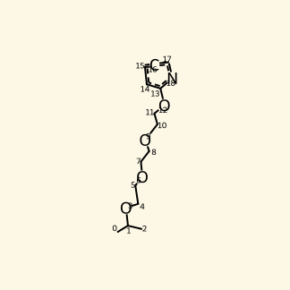 CC(C)OCCOCCOCCOc1ccccn1